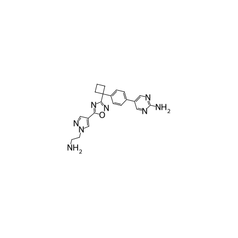 NCCn1cc(-c2nc(C3(c4ccc(-c5cnc(N)nc5)cc4)CCC3)no2)cn1